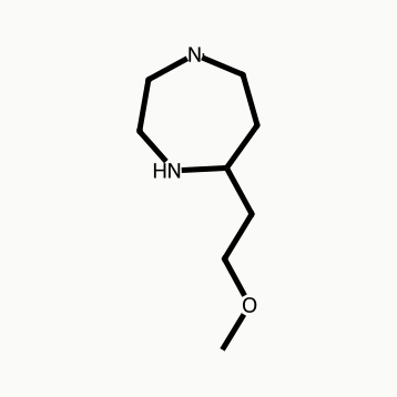 COCCC1CC[N]CCN1